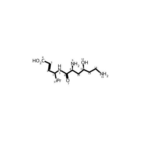 CC(C)C(/C=C/C(=O)O)NC(=O)[C@@H](N)C[C@@H](O)CCN